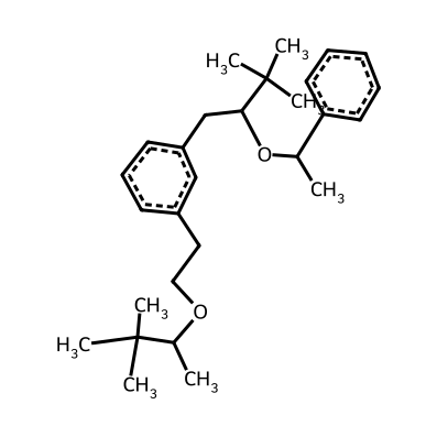 CC(OC(Cc1cccc(CCOC(C)C(C)(C)C)c1)C(C)(C)C)c1ccccc1